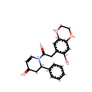 O=C1C=CN(C(=O)Cc2cc3c(cc2Br)OCCO3)C(c2ccccc2)C1